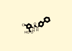 O=C(Nc1ccc(-c2ccccc2)cc1)Nc1ccc(Cl)cc1C(=O)O